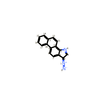 [N-]=[N+]=C1C=Nc2c1ccc1c2ccc2ccccc21